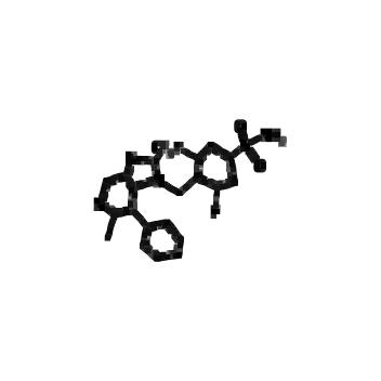 Cc1ncc2nc(C(F)(F)F)n(Cc3c(F)cc(S(N)(=O)=O)cc3F)c2c1-c1ccccc1